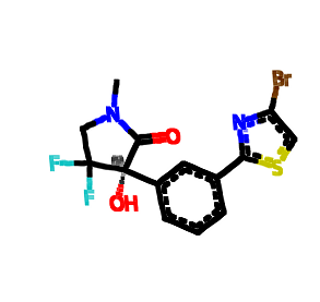 CN1CC(F)(F)[C@](O)(c2cccc(-c3nc(Br)cs3)c2)C1=O